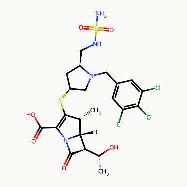 C[C@@H](O)[C@H]1C(=O)N2C(C(=O)O)=C(S[C@H]3C[C@@H](CNS(N)(=O)=O)N(Cc4cc(Cl)c(Cl)c(Cl)c4)C3)[C@H](C)[C@H]12